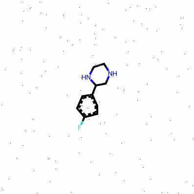 Fc1ccc(C2CNCCN2)cc1